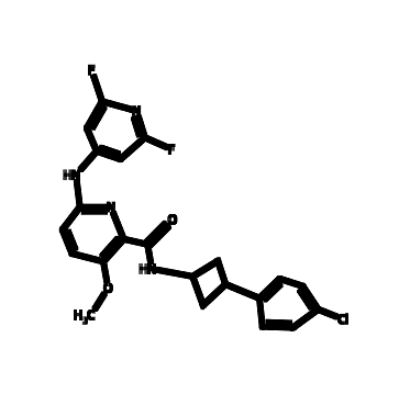 COc1ccc(Nc2cc(F)nc(F)c2)nc1C(=O)NC1CC(c2ccc(Cl)cc2)C1